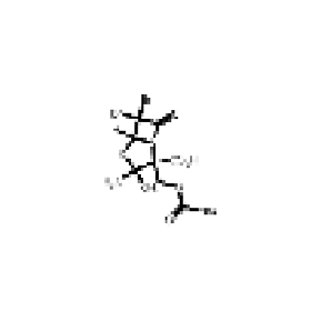 CC(C)(C)C(=O)OC[C@@]1(C(=O)O)N2C(=O)C(Br)(Br)[C@H]2SC1(C)C